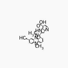 C#Cc1ccc(N(C)c2cccc3c(-c4cc5nccc(C(=O)O)c5[nH]4)n(C)nc23)cc1